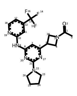 CC(=O)N1CC(c2cc(Nc3cc(C(F)(F)F)ccn3)nc(N3CCCC3)n2)C1